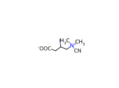 C[N+](C)(C#N)CC(I)CC(=O)[O-]